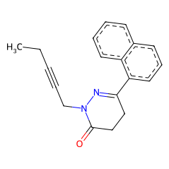 CCC#CCN1N=C(c2cccc3ccccc23)CCC1=O